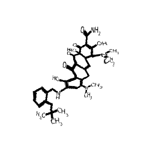 CN(C)c1cc(NCc2ccccc2CC(C)(C)C)c(O)c2c1CC1CC3C(N(C)C)C(O)=C(C(N)=O)C(=O)C3(O)C(O)=C1C2=O